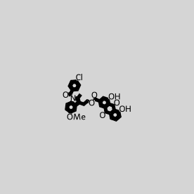 COc1ccc2c(c1)c(CCOC(=O)c1cc(O)c3c(c1)C(=O)c1cccc(O)c1C3=O)c(C)n2C(=O)c1ccc(Cl)cc1